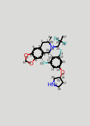 C[C@@H]1Cc2cc3c(cc2[C@@H](c2c(F)cc(O[C@H]4CCNC4)cc2F)N1CC(C)(F)F)OCO3